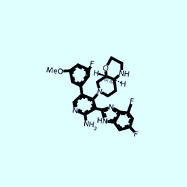 COc1cc(F)cc(-c2cnc(N)c(-c3nc4c(F)cc(F)cc4[nH]3)c2N2CC[C@@H]3NCCO[C@H]3C2)c1